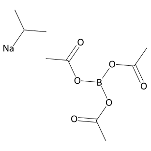 CC(=O)OB(OC(C)=O)OC(C)=O.C[CH](C)[Na]